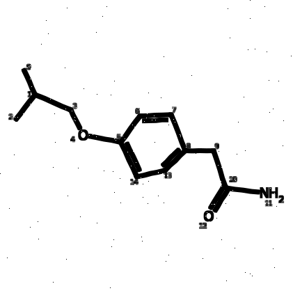 CC(C)COc1ccc(CC(N)=O)cc1